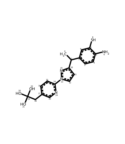 CC(c1ccc(N)c(S)c1)c1ccn(-c2ccc(CC(O)(O)O)cn2)n1